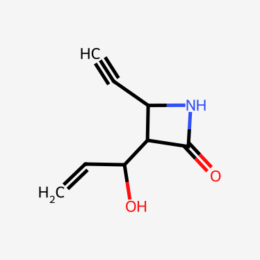 C#CC1NC(=O)C1C(O)C=C